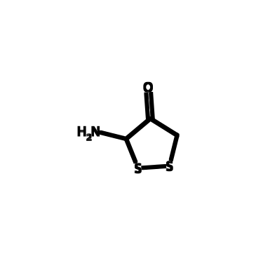 NC1SSCC1=O